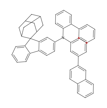 c1ccc(-c2ccccc2N(c2cccc(-c3ccc4ccccc4c3)c2)c2ccc3c(c2)C2(c4ccccc4-3)C3CC4CC(C3)CC2C4)cc1